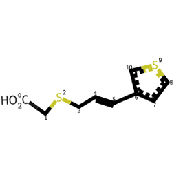 O=C(O)CSC/C=C/c1ccsc1